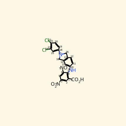 O=C(O)c1cc([N+](=O)[O-])cc([N+](=O)[O-])c1Nc1ccc2c(c1)CN(c1ccc(Cl)c(Cl)c1)C2